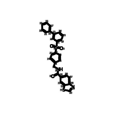 O=C(NCc1ccc(S(=O)(=O)c2cccc(-c3ccccc3)c2)cc1)c1ccc2ncsc2c1